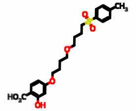 Cc1ccc(S(=O)(=O)CCCCOCCCCOc2ccc(C(=O)O)c(O)c2)cc1